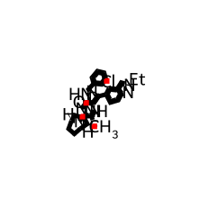 CCn1cc2c(Cl)c(-c3n[nH]c4nc(N5[C@H]6CC[C@@H]5[C@@H](F)[C@@H](NC(=O)OCc5ccccc5)C6)c(C)nc34)ccc2n1